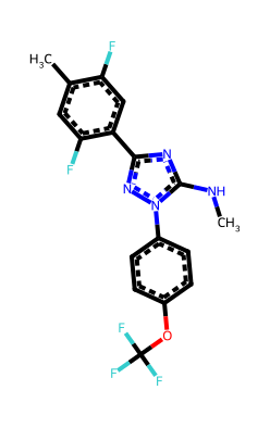 CNc1nc(-c2cc(F)c(C)cc2F)nn1-c1ccc(OC(F)(F)F)cc1